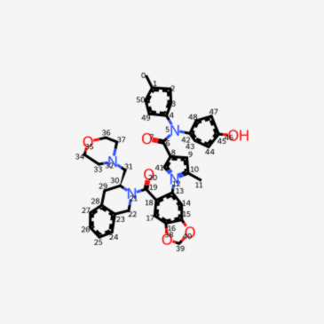 Cc1ccc(N(C(=O)c2cc(C)n(-c3cc4c(cc3C(=O)N3Cc5ccccc5C[C@H]3CN3CCOCC3)OCO4)c2)c2ccc(O)cc2)cc1